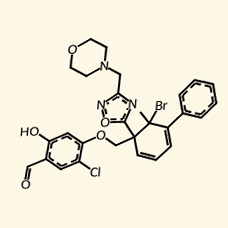 CC1(Br)C(c2ccccc2)=CC=CC1(COc1cc(O)c(C=O)cc1Cl)c1nc(CN2CCOCC2)no1